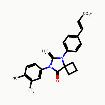 C=C1N(c2ccc(C#N)c(C(F)(F)F)c2)C(=O)C2(CCC2)N1c1ccc(/C=C/C(=O)O)cc1